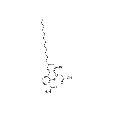 CCCCCCCCCCCCc1cc(Br)c(OCC(=O)O)c(-c2cccc(C(N)=O)c2F)c1